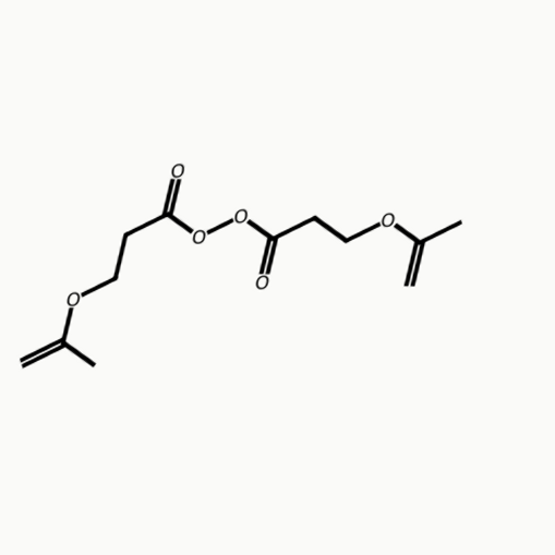 C=C(C)OCCC(=O)OOC(=O)CCOC(=C)C